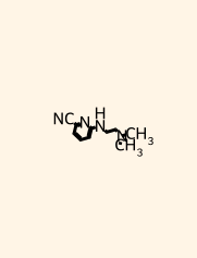 CN(C)CCNc1cccc(C#N)n1